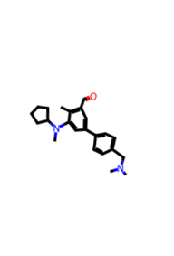 Cc1c(C=O)cc(-c2ccc(CN(C)C)cc2)cc1N(C)C1CCCC1